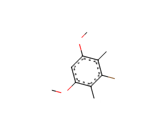 COc1cc(OC)c(C)c(Br)c1C